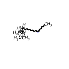 CCCCCC/C=C\CCCCCCCC(=O)NC(=N)N(C)CC(=O)OC(C)C